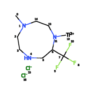 CN1CCNCC(C(F)(F)F)[N]([Ti+2])CC1.[Cl-].[Cl-]